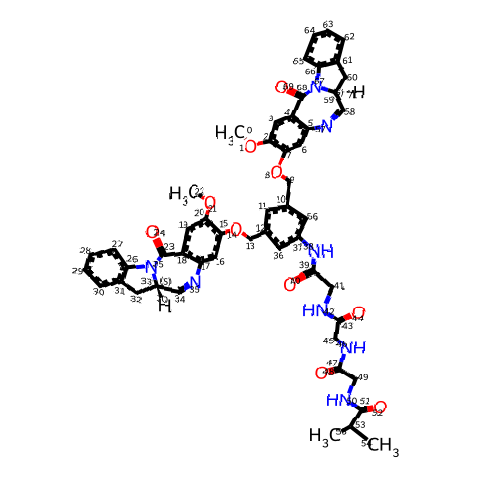 COc1cc2c(cc1OCc1cc(COc3cc4c(cc3OC)C(=O)N3c5ccccc5C[C@H]3C=N4)cc(NC(=O)CNC(=O)CNC(=O)CNC(=O)C(C)C)c1)N=C[C@@H]1Cc3ccccc3N1C2=O